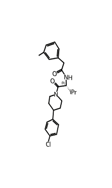 Cc1cccc(CC(=O)N[C@@H](C(=O)N2CCC(c3ccc(Cl)cc3)CC2)C(C)C)c1